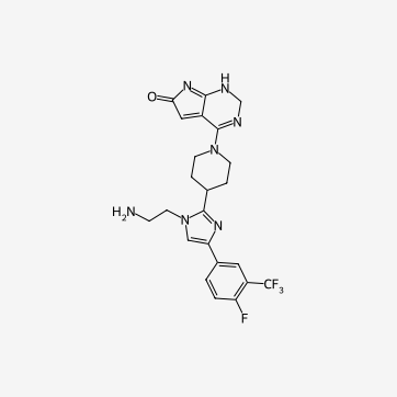 NCCn1cc(-c2ccc(F)c(C(F)(F)F)c2)nc1C1CCN(C2=NCNC3=NC(=O)C=C32)CC1